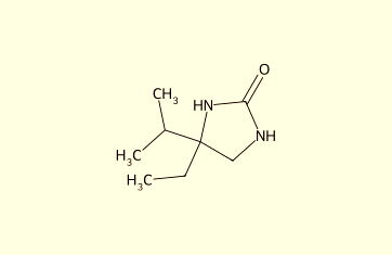 CCC1(C(C)C)CNC(=O)N1